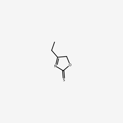 CCC1=NC(=S)OC1